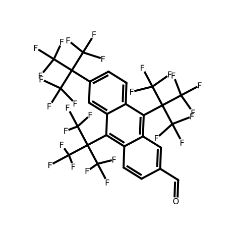 O=Cc1ccc2c(C(C(F)(F)F)(C(F)(F)F)C(F)(F)F)c3cc(C(C(F)(F)F)(C(F)(F)F)C(F)(F)F)ccc3c(C(C(F)(F)F)(C(F)(F)F)C(F)(F)F)c2c1